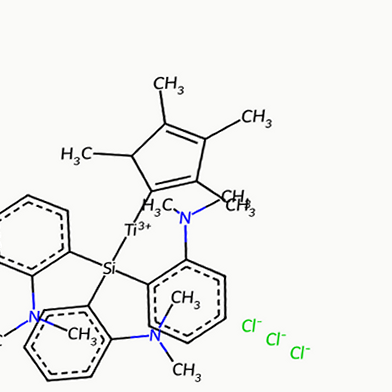 CC1=C(C)C(C)[C]([Ti+3][Si](c2ccccc2N(C)C)(c2ccccc2N(C)C)c2ccccc2N(C)C)=C1C.[Cl-].[Cl-].[Cl-]